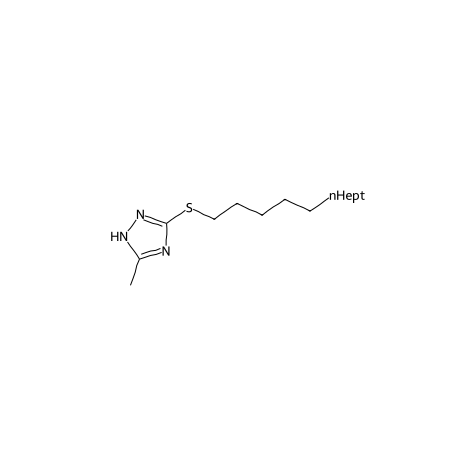 CCCCCCCCCCCCSc1n[nH]c(C)n1